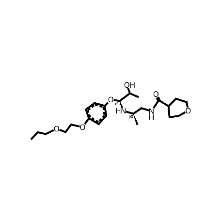 CCCOCCOc1ccc(O[C@H](N[C@H](C)CNC(=O)C2CCOCC2)C(C)O)cc1